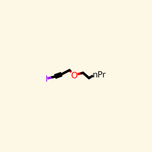 CCCCCOCC#CI